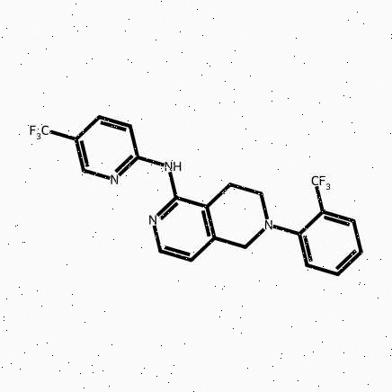 FC(F)(F)c1ccc(Nc2nccc3c2CCN(c2ccccc2C(F)(F)F)C3)nc1